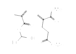 C=C(C)C(=O)OC(O)CC.C=C(CCC(=O)OC)C(=O)OC